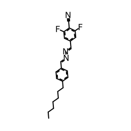 CCCCCCCc1ccc(/C=N/N=C/c2cc(F)c(C#N)c(F)c2)cc1